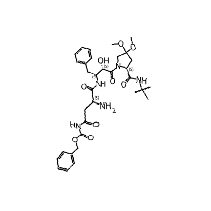 COC1(OC)C[C@@H](C(=O)NC(C)(C)C)N(C(=O)[C@@H](O)[C@H](Cc2ccccc2)NC(=O)[C@@H](N)CC(=O)NC(=O)OCc2ccccc2)C1